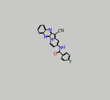 N#Cc1c2nc3ccccc3nc2n2ccc(NC(=O)c3ccc(F)cc3)cc12